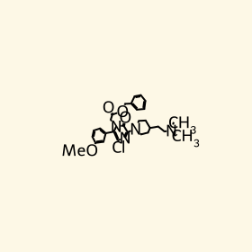 COc1cccc(-c2c(Cl)nc(N3CCC(CCN(C)C)CC3)c(=O)n2CC(=O)OCc2ccccc2)c1